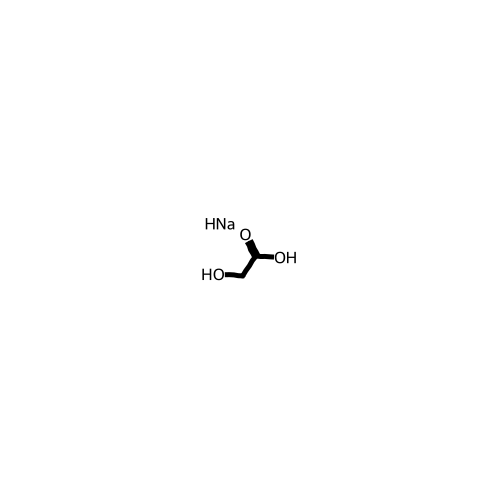 O=C(O)CO.[NaH]